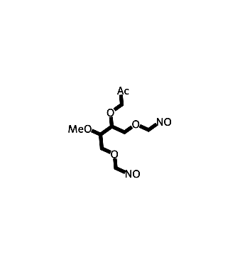 COC(COCN=O)C(COCN=O)OCC(C)=O